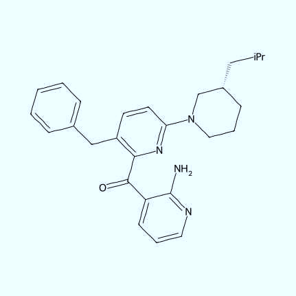 CC(C)C[C@@H]1CCCN(c2ccc(Cc3ccccc3)c(C(=O)c3cccnc3N)n2)C1